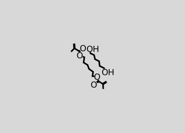 C=C(C)C(=O)OCCCCCCOC(=O)C(=C)C.OCCCCCCO